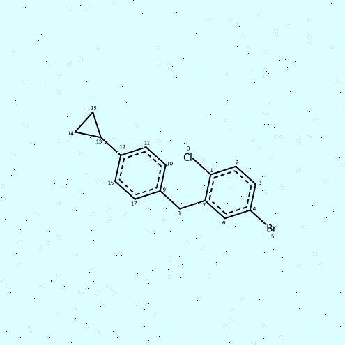 Clc1ccc(Br)cc1Cc1ccc(C2CC2)cc1